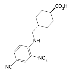 N#Cc1ccc(NC[C@H]2CC[C@H](C(=O)O)CC2)c([N+](=O)[O-])c1